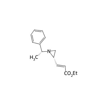 CCOC(=O)/C=C/[C@H]1CN1[C@H](C)c1ccccc1